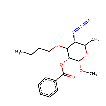 CCCCOC1[C@H](N=[N+]=[N-])C(C)O[C@H](OC)[C@@H]1OC(=O)c1ccccc1